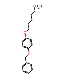 O=C(O)CCCCCOc1ccc(OCc2ccccc2)cc1